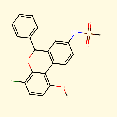 COc1ccc(Br)c2c1-c1ccc(NS(C)(=O)=O)cc1C(c1ccccc1)O2